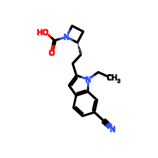 CCn1c(CC[C@H]2CCN2C(=O)O)cc2ccc(C#N)cc21